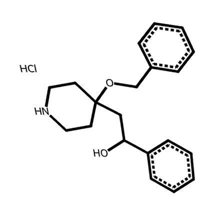 Cl.OC(CC1(OCc2ccccc2)CCNCC1)c1ccccc1